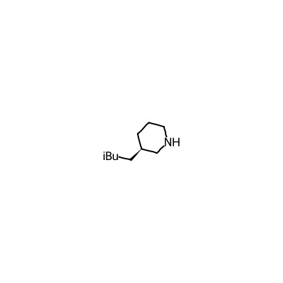 CCC(C)C[C@H]1CCCNC1